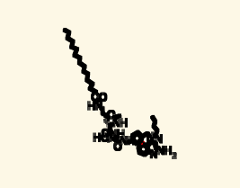 CCCCCCCCCCCCCCCCOC(=O)NCCSC[C@H](NC(C)=O)C(=O)N[C@@H](CO)C(=O)NCc1ccc(Cn2c(CCCC)nc3c(N)nc4ccccc4c32)cc1